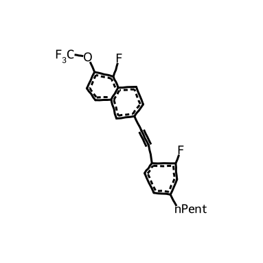 CCCCCc1ccc(C#Cc2ccc3c(F)c(OC(F)(F)F)ccc3c2)c(F)c1